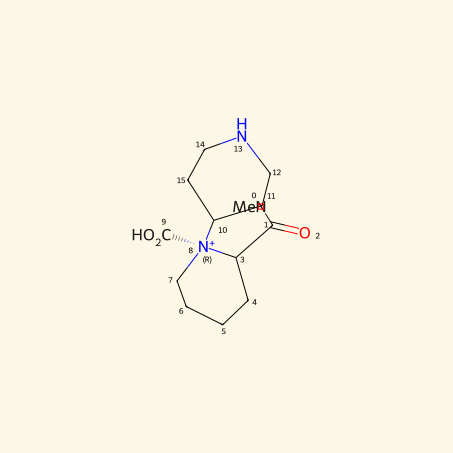 CNC(=O)C1CCCC[N@@+]1(C(=O)O)C1CCNCC1